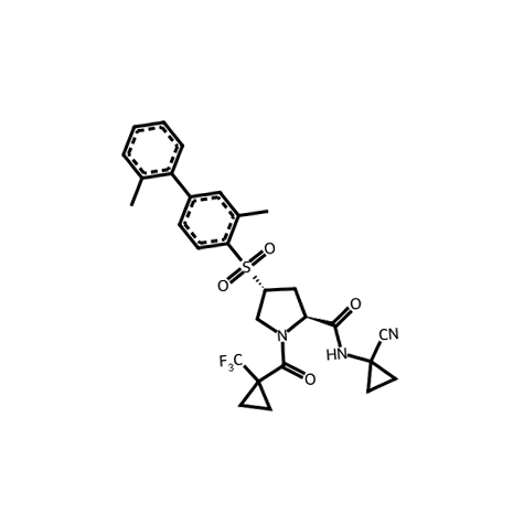 Cc1ccccc1-c1ccc(S(=O)(=O)[C@@H]2C[C@@H](C(=O)NC3(C#N)CC3)N(C(=O)C3(C(F)(F)F)CC3)C2)c(C)c1